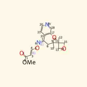 COC(=O)/C=C/O/N=C1\CC(C)(C2(C)COC2)Oc2cnccc21